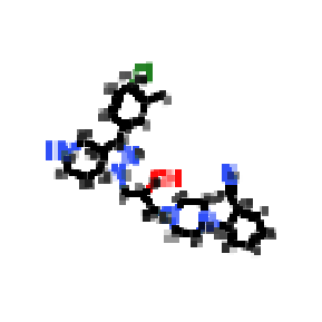 Cc1cc(-c2nn(CC(O)CN3CCN(c4ccccc4C#N)CC3)c3c2CNCC3)ccc1Cl